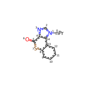 CCCn1cnc2c(=O)sc3ccccc3c21